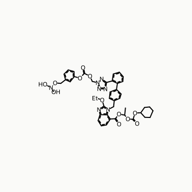 CCOc1nc2cccc(C(=O)OC(C)OC(=O)OC3CCCCC3)c2n1Cc1ccc(-c2ccccc2-c2nnn(COC(=O)Oc3cccc(CON(O)O)c3)n2)cc1